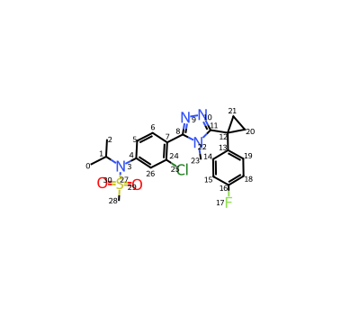 CC(C)N(c1ccc(-c2nnc(C3(c4ccc(F)cc4)CC3)n2C)c(Cl)c1)S(C)(=O)=O